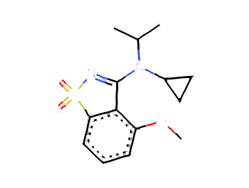 COc1cccc2c1C(N(C(C)C)C1CC1)=NS2(=O)=O